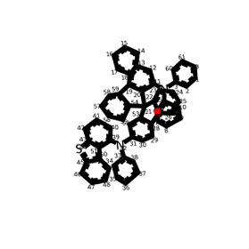 c1ccc(N(c2ccccc2)c2cc3ccccc3c3c2C2(c4ccccc4-c4ccc(N(c5ccccc5)c5cccc6sc7ccccc7c56)cc42)c2ccccc2-3)cc1